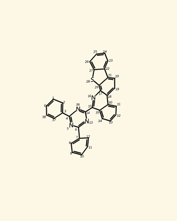 c1ccc(-c2nc(-c3ccccc3)nc(-c3nc4c(ccc5c6ccccc6sc54)c4ccccc34)n2)cc1